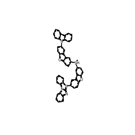 C[SiH](c1ccc2oc3ccc(-n4c5ccccc5c5ccccc54)cc3c2c1)c1ccc2oc3ccc(-n4c5ccccc5n5c6ccccc6nc45)cc3c2c1